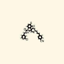 N#Cc1ccc(C=CCN2CCC3(CC2)CN(C(=O)NCc2ccnc(Cl)c2)c2ccc(F)c(Cl)c23)cc1